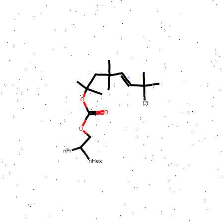 CCCCCCC(CCC)COC(=O)OC(C)(C)CC(C)(C)/C=C/C(C)(C)CC